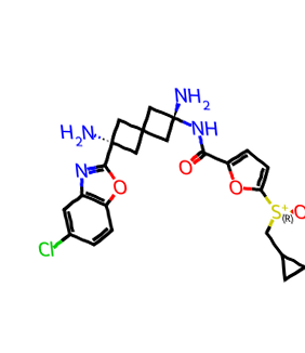 N[C@]1(NC(=O)c2ccc([S@@+]([O-])CC3CC3)o2)CC2(C1)C[C@](N)(c1nc3cc(Cl)ccc3o1)C2